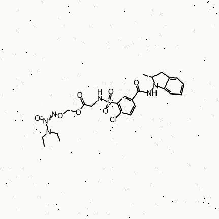 CCN(CC)/[N+]([O-])=N\OCOC(=O)CNS(=O)(=O)c1cc(C(=O)NN2c3ccccc3CC2C)ccc1Cl